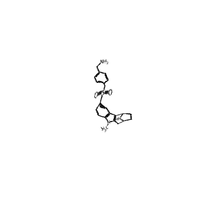 Cn1c2c(c3cc(S(=O)(=O)c4ccc(CN)cc4)ccc31)C1CCC(C2)N1